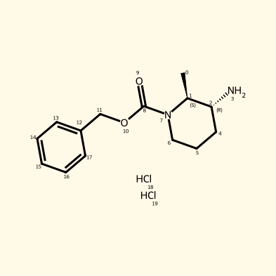 C[C@H]1[C@H](N)CCCN1C(=O)OCc1ccccc1.Cl.Cl